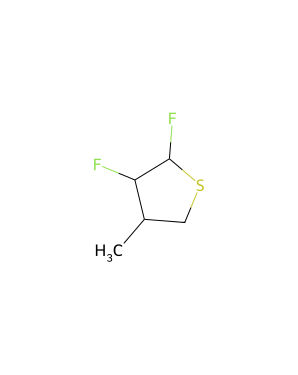 CC1CSC(F)C1F